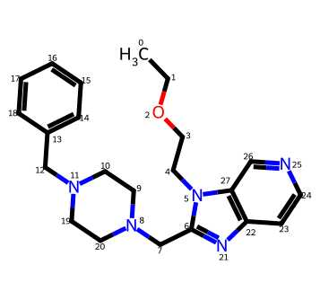 CCOCCn1c(CN2CCN(Cc3ccccc3)CC2)nc2ccncc21